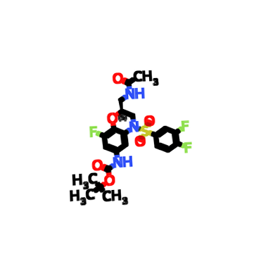 CC(=O)NC[C@H]1CN(S(=O)(=O)c2ccc(F)c(F)c2)c2cc(NC(=O)OC(C)(C)C)cc(F)c2O1